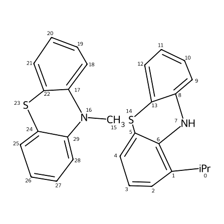 CC(C)c1cccc2c1Nc1ccccc1S2.CN1c2ccccc2Sc2ccccc21